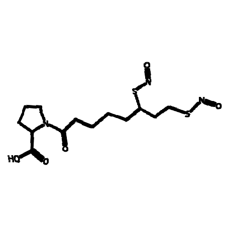 O=NSCCC(CCCCC(=O)N1CCCC1C(=O)O)SN=O